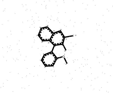 COc1ccccc1-c1c(C)c(I)cc2ccccc12